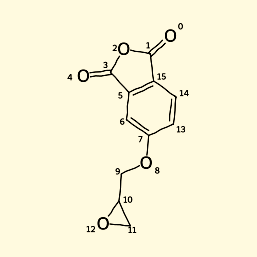 O=C1OC(=O)c2cc(OCC3CO3)ccc21